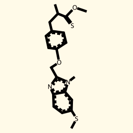 COC(=S)C(C)Cc1ccc(OCc2nc3ccc(SC)cc3n2C)cc1